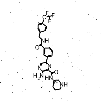 Nc1ncc(-c2cccc(C(=O)NCc3ccc(OC(F)(F)F)cc3)c2)nc1C(=O)N[C@H]1CCCNC1